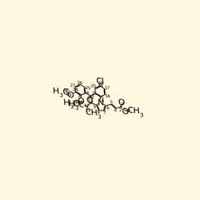 COC(=O)C=Cc1ccc(CC(C)C)n1-c1ccc(Cl)cc1C(=O)c1cccc(OC)c1OC